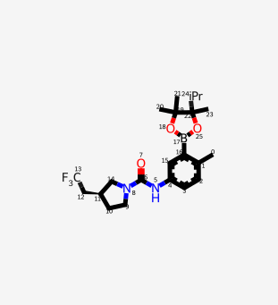 Cc1ccc(NC(=O)N2CC[C@@H](CC(F)(F)F)C2)cc1B1OC(C)(C)C(C)(C(C)C)O1